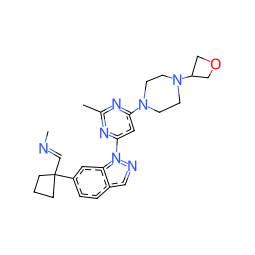 CN=CC1(c2ccc3cnn(-c4cc(N5CCN(C6COC6)CC5)nc(C)n4)c3c2)CCC1